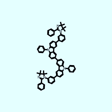 CC1(C)N=C(c2ccccc2)N(c2cccc(-c3ccc4c(c3)c3cc(-c5ccc6c(c5)c5cc(-c7cccc(N8C(c9ccccc9)=NC(C)(C)C8(C)C)c7)ccc5n6-c5ccccc5)ccc3n4-c3ccccc3)c2)C1(C)C